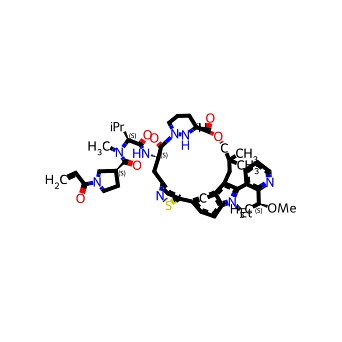 C=CC(=O)N1CC[C@H](C(=O)N(C)[C@H](C(=O)N[C@H]2Cc3cc(sn3)-c3ccc4c(c3)c(c(-c3cccnc3[C@H](C)OC)n4CC)CC(C)(C)COC(=O)[C@@H]3CCCN(N3)C2=O)C(C)C)C1